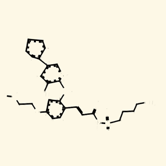 CCCCCS(=O)(=O)NC(=O)C=Cc1ccc(OCCOC)cc1Oc1ncc(-c2ccccc2)cc1C